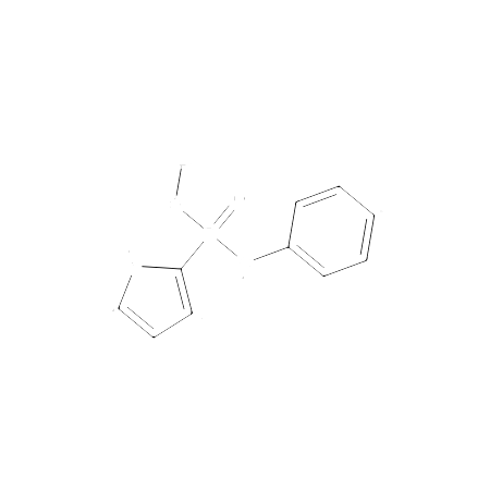 CCOP(=O)(Oc1ccccc1)c1cccs1